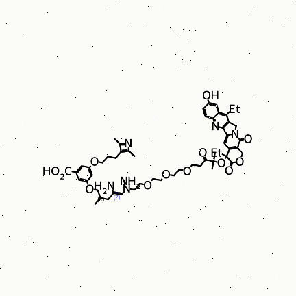 CCc1c2c(nc3ccc(O)cc13)-c1cc3c(c(=O)n1C2)COC(=O)C3(CC)OC(C)(C)C(=O)CCOCCOCCOCCN(N)/C=C(\N)C[C@@H](C)COc1cc(OCCCC2=C(C)N=C2C)cc(C(=O)O)c1